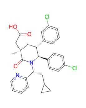 C[C@]1(CC(=O)O)C[C@H](c2cccc(Cl)c2)[C@@H](c2ccc(Cl)cc2)N([C@H](CC2CC2)c2ccccn2)C1=O